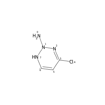 NN1N=C(Cl)C=[C]N1